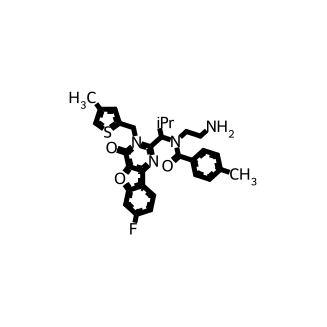 Cc1ccc(C(=O)N(CCN)C(c2nc3c(oc4cc(F)ccc43)c(=O)n2Cc2cc(C)cs2)C(C)C)cc1